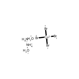 O.O.[Br][Cu-2]([Br])([Br])[Br].[NH4+].[NH4+]